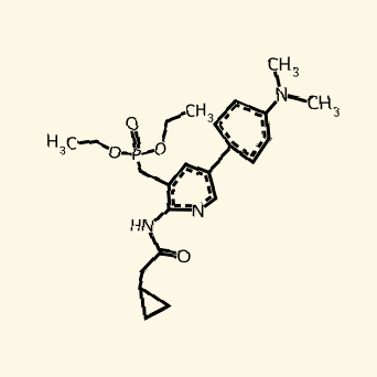 CCOP(=O)(Cc1cc(-c2ccc(N(C)C)cc2)cnc1NC(=O)CC1CC1)OCC